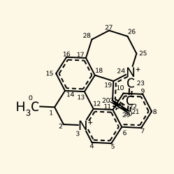 CC1C[n+]2ccc3ccccc3c2-c2c1ccc1c2-c2c3c(cc[n+]2CCCC1)CCC=C3